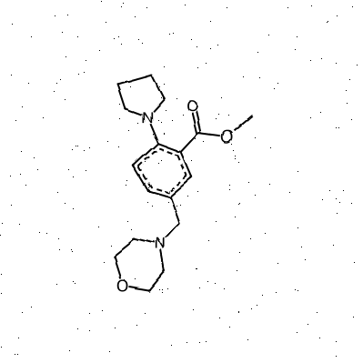 COC(=O)c1cc(CN2CCOCC2)ccc1N1CCCC1